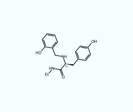 CCNC(=O)[C@H](Cc1ccc(O)cc1)NCc1ccccc1O